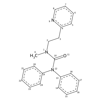 CN(CCc1ccccn1)C(=O)N(c1ccccc1)c1ccccc1